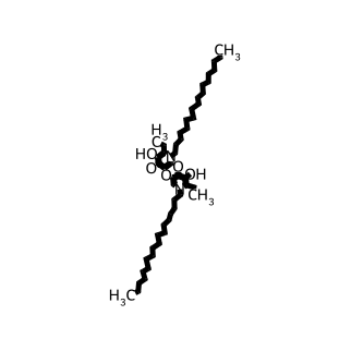 CCCCCCCCCCCCCCCCCCn1cc(Oc2cn(CCCCCCCCCCCCCCCCCC)c(CC)c(O)c2=O)c(=O)c(O)c1CC